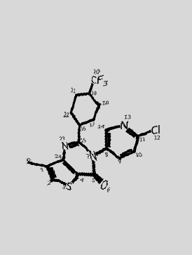 Cc1csc2c(=O)n(-c3ccc(Cl)nc3)c(C3CCC(C(F)(F)F)CC3)nc12